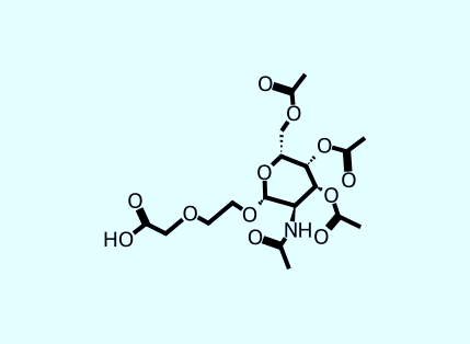 CC(=O)N[C@H]1[C@H](OCCOCC(=O)O)O[C@H](COC(C)=O)[C@H](OC(C)=O)[C@@H]1OC(C)=O